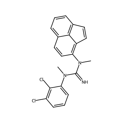 CN(C(=N)N(C)c1ccc2cccc3c2c1C=C3)c1cccc(Cl)c1Cl